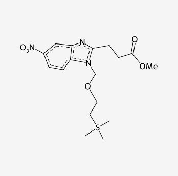 COC(=O)CCc1nc2cc([N+](=O)[O-])ccc2n1COCCS(C)(C)C